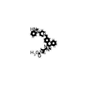 CC(=O)N1CC(c2nnc(-c3ccccc3)c(-c3ccc(CN4CCC(N5[CH]Nc6ccccc65)CC4)cc3)n2)C1